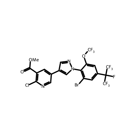 COC(=O)c1cc(-c2cnn(-c3c(Br)cc(C(F)(C(F)(F)F)C(F)(F)F)cc3OC(F)(F)F)c2)cnc1Cl